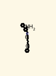 Nc1cc(/C=C/COCCCCCOCc2ccccc2)ccc1-c1ccccc1